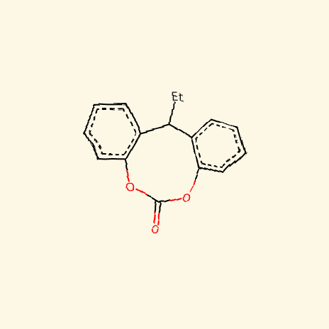 CCC1c2ccccc2OC(=O)Oc2ccccc21